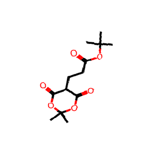 CC(C)(C)OC(=O)CCC1C(=O)OC(C)(C)OC1=O